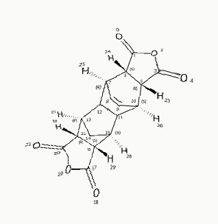 O=C1OC(=O)[C@H]2[C@@H]1[C@H]1C=C[C@@H]2C2C1[C@H]1C[C@@H]2[C@@H]2C(=O)OC(=O)[C@@H]21